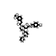 O=C(CC1CN(C(=O)Cc2ccc3c(c2)OCO3)CCN1c1ccnc(-n2ccnc2)n1)NCc1ccc(Cl)cc1